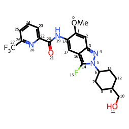 COc1cc2nn(C3CCC(CO)CC3)c(F)c2cc1NC(=O)c1cccc(C(F)(F)F)n1